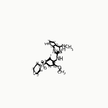 CNc1nc(Nc2ccc(S(=O)(=O)N3CCOCC3)cc2OC)nc2[nH]ccc12